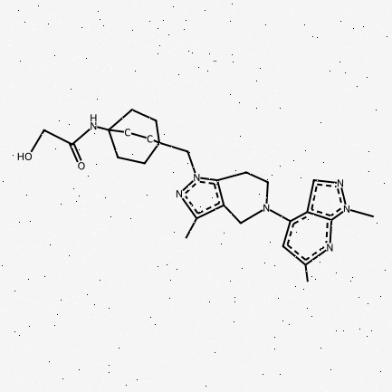 Cc1cc(N2CCc3c(c(C)nn3CC34CCC(NC(=O)CO)(CC3)CC4)C2)c2cnn(C)c2n1